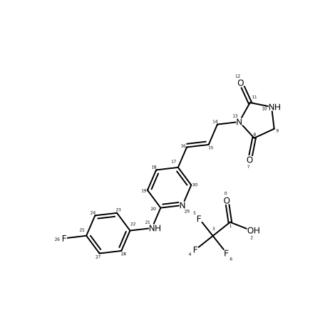 O=C(O)C(F)(F)F.O=C1CNC(=O)N1CC=Cc1ccc(Nc2ccc(F)cc2)nc1